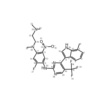 Cc1cccc2c(-c3nc(Nc4cc([N+](=O)[O-])c(N(C)CCN(C)C)cc4F)ncc3C(F)(F)F)c[nH]c12